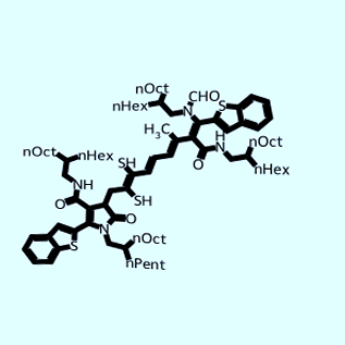 CCCCCCCCC(CCCCCC)CNC(=O)C1=C(c2cc3ccccc3s2)N(CC(CCCCC)CCCCCCCC)C(=O)C1C/C(S)=C(S)/C=C/C=C(C)/C(C(=O)NCC(CCCCCC)CCCCCCCC)=C(/c1cc2ccccc2s1)N(C=O)CC(CCCCCC)CCCCCCCC